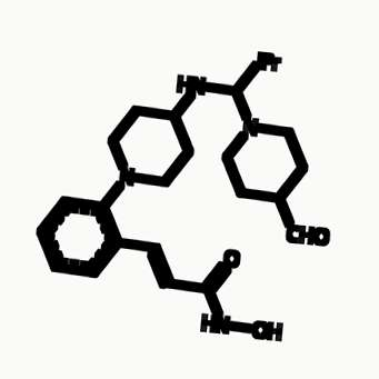 CC(C)C(NC1CCN(c2ccccc2/C=C/C(=O)NO)CC1)N1CCC(C=O)CC1